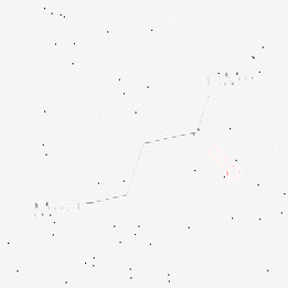 [CH2]OC(=O)CCOC